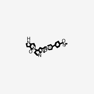 CN(C)C(=O)c1ccc(C2CC[N+]([O-])(Cc3cc4c(-n5ccc6c(c5=O)CCN6)ccnc4n3C)CC2)cc1